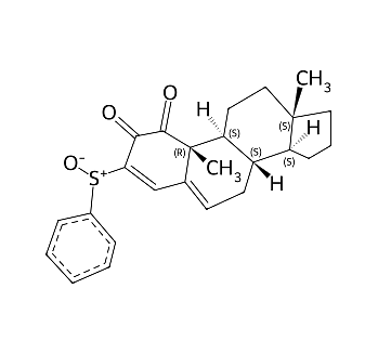 C[C@@]12CCC[C@H]1[C@@H]1CC=C3C=C([S+]([O-])c4ccccc4)C(=O)C(=O)[C@]3(C)[C@H]1CC2